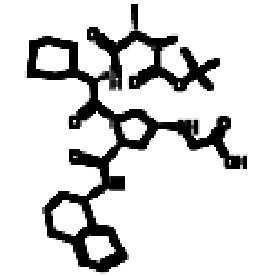 C[C@@H](C(=O)N[C@H](C(=O)N1C[C@@H](NCC(=O)O)C[C@H]1C(=O)N[C@@H]1CCCc2ccccc21)C1CCCCC1)N(C)C(=O)OC(C)(C)C